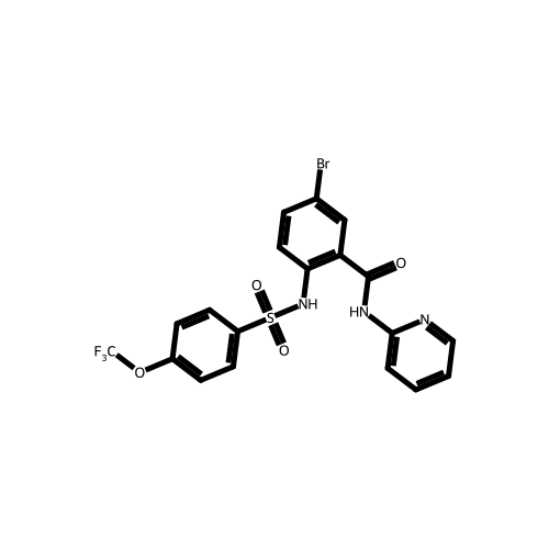 O=C(Nc1ccccn1)c1cc(Br)ccc1NS(=O)(=O)c1ccc(OC(F)(F)F)cc1